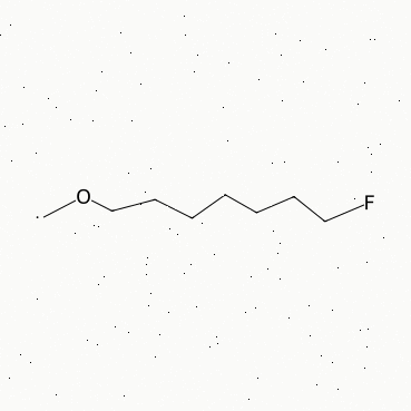 [CH2]OCCCCCCCF